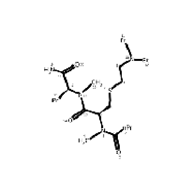 CCCC(=O)N(C)[C@H](CSCCN(CC)CC)C(=O)N(C)[C@H](C(N)=O)C(C)C